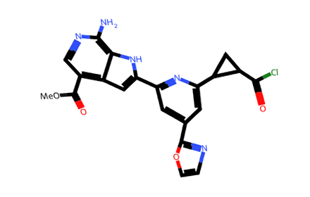 COC(=O)c1cnc(N)c2[nH]c(-c3cc(-c4ncco4)cc(C4CC4C(=O)Cl)n3)cc12